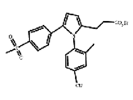 CCOC(=O)CCc1ccc(-c2ccc(S(C)(=O)=O)cc2)n1-c1ccc(C#N)cc1C